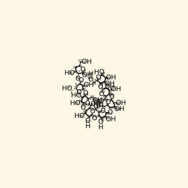 OC[C@@H]1C[C@H](OO[C@H]2C(O)O[C@H](CO)C[C@@H]2O)[C@@H](O)C(O[C@H]2[C@H](O)[C@@H](O)C(O[C@H]3[C@H](O)[C@@H](O)C(O[C@H]4[C@H](O)[C@@H](O)C(O[C@H]5[C@H](O)[C@@H](O)C(O[C@H]6[C@H](O)[C@@H](O)C(O[C@H]7[C@H](O)[C@@H](O)C(O)O[C@@H]7CO)O[C@@H]6CO)O[C@@H]5CO)O[C@@H]4CO)O[C@@H]3CO)O[C@@H]2CO)O1